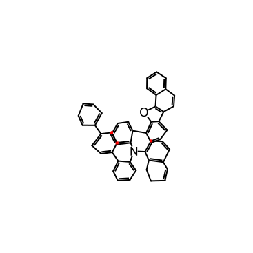 C1=Cc2cccc(N(c3ccccc3-c3ccc(-c4ccccc4)cc3)c3ccccc3-c3cccc4c3oc3c5ccccc5ccc43)c2CC1